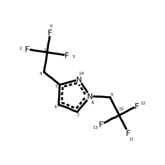 FC(F)(F)Cc1[c]cn(CC(F)(F)F)n1